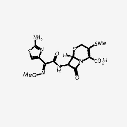 CON=C(C(=O)NC1C(=O)N2C(C(=O)O)=C(SC)CS[C@@H]12)c1csc(N)n1